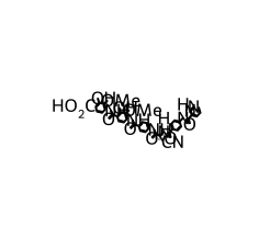 COc1c(NC(=O)c2ccc(NC(=O)c3ccc(NC(=O)[C@H](CC#N)NC(=O)c4ccc(NC(=O)c5cccnn5)cc4)cc3)c(OC)c2O)ccc(C(=O)O)c1O